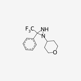 FC(F)(F)C1(c2ccccc2)NN1C1CCOCC1